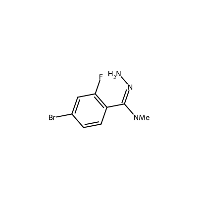 CN/C(=N/N)c1ccc(Br)cc1F